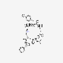 COc1ccc(C[C@H]2NC(=O)/C=C/C[C@@H]([C@H](C)[C@H]3O[C@@H]3c3ccccc3)CC(=O)[C@H](CC(C)C)OC(=O)CCNC2=O)cc1